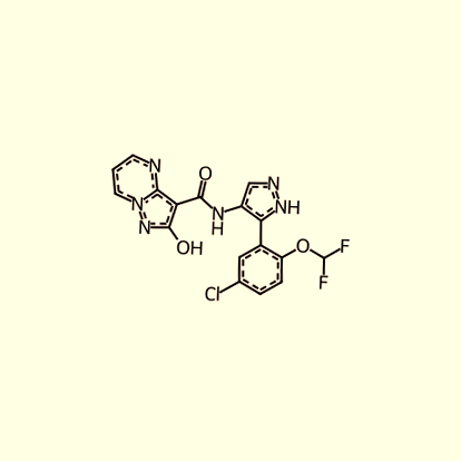 O=C(Nc1cn[nH]c1-c1cc(Cl)ccc1OC(F)F)c1c(O)nn2cccnc12